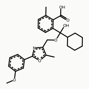 COc1cccc(-c2nc(COC(O)(c3cccc(C)c3C(=O)O)C3CCCCC3)c(C)o2)c1